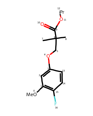 COc1cc(OCC(C)(C)C(=O)OC(C)C)ccc1F